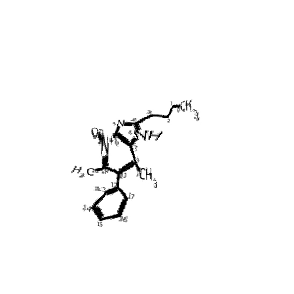 CCCCc1nc2c([nH]1)c(C)c(-c1ccccc1)c(C)[n+]2[O-]